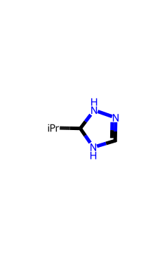 CC(C)C1NC=NN1